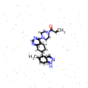 C=CC(=O)N1CCN(c2ncnc3c2CC[C@@H](c2c(C)ccc4[nH]ncc24)C3)CC1